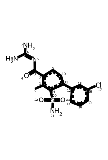 Cc1c(C(=O)N=C(N)N)ccc(-c2cccc(Cl)c2)c1S(N)(=O)=O